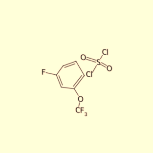 Fc1cccc(OC(F)(F)F)c1.O=S(=O)(Cl)Cl